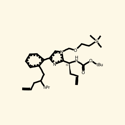 C=CCC(CCC)Cc1ccccc1-c1cn(COCC[Si](C)(C)C)c([C@H](CC=C)NC(=O)OC(C)(C)C)n1